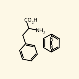 NC(Cc1ccccc1)C(=O)O.c1cc2ccc1nn2